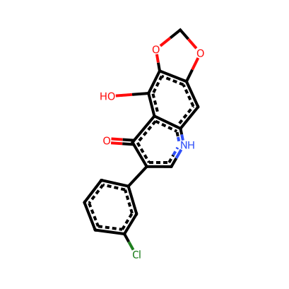 O=c1c(-c2cccc(Cl)c2)c[nH]c2cc3c(c(O)c12)OCO3